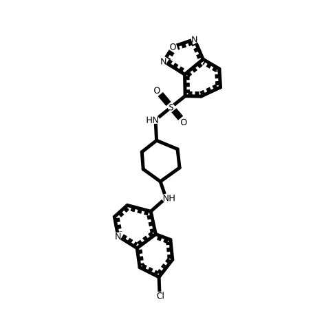 O=S(=O)(NC1CCC(Nc2ccnc3cc(Cl)ccc23)CC1)c1cccc2nonc12